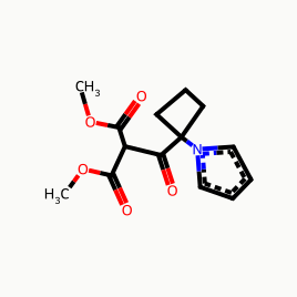 COC(=O)C(C(=O)OC)C(=O)C1(n2cccc2)CCC1